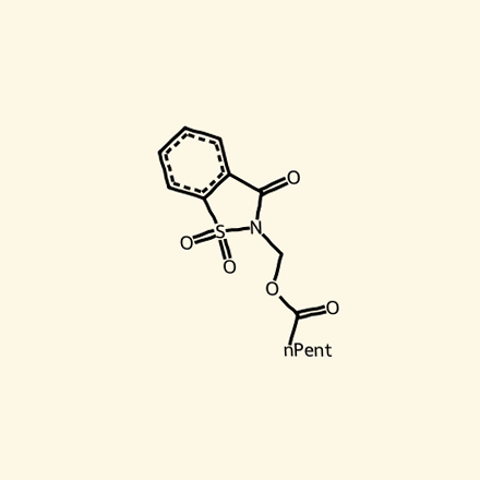 CCCCCC(=O)OCN1C(=O)c2ccccc2S1(=O)=O